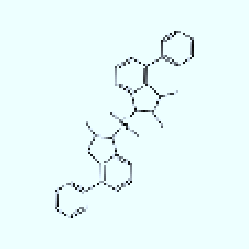 CC1Cc2c(-c3ccccc3)cccc2C1S(C)(C)C1c2cccc(-c3ccccc3)c2C(C)C1C